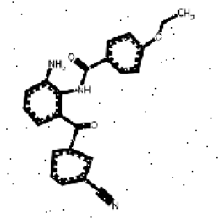 CCOc1ccc(C(=O)Nc2c(N)cccc2C(=O)c2cccc(C#N)c2)cc1